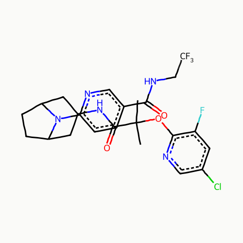 CC(C)(Oc1ncc(Cl)cc1F)C(=O)NC1CC2CCC(C1)N2c1ccc(C(=O)NCC(F)(F)F)cn1